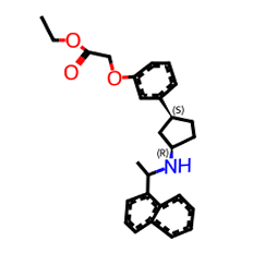 CCOC(=O)COc1cccc([C@H]2CC[C@@H](NC(C)c3cccc4ccccc34)C2)c1